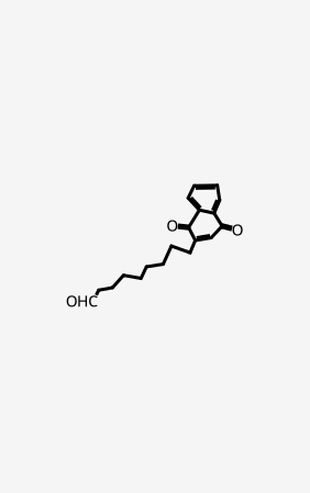 O=CCCCCCCCCC1=CC(=O)c2ccccc2C1=O